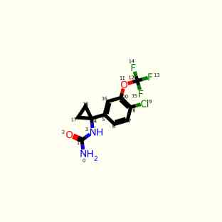 NC(=O)NC1(c2ccc(Cl)c(OC(F)(F)F)c2)CC1